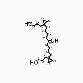 OCCCC1(CCCCC(O)CCCCC2(CCCO)CC2)CC1